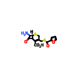 N[C@@H]1C(=O)C2C(C(=O)O)=C(CSC(=O)c3ccco3)CS[C@@H]21